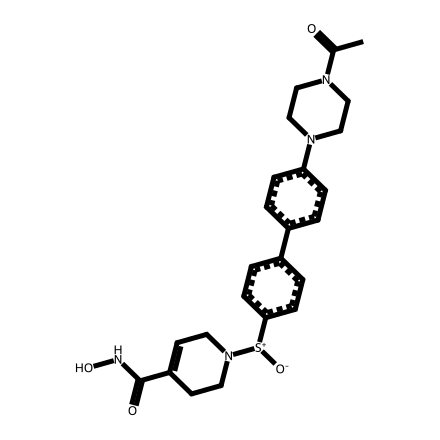 CC(=O)N1CCN(c2ccc(-c3ccc([S+]([O-])N4CC=C(C(=O)NO)CC4)cc3)cc2)CC1